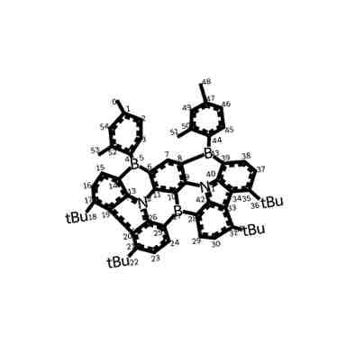 Cc1ccc(B2c3cc4c5c6c3-n3c7c2ccc(C(C)(C)C)c7c2c(C(C)(C)C)ccc(c23)B6c2ccc(C(C)(C)C)c3c6c(C(C)(C)C)ccc(c6n-5c23)B4c2ccc(C)cc2C)c(C)c1